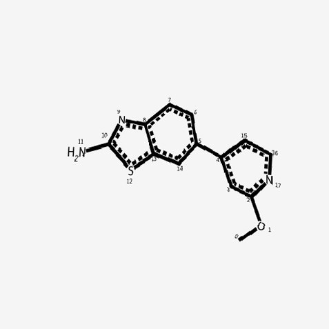 COc1cc(-c2ccc3nc(N)sc3c2)ccn1